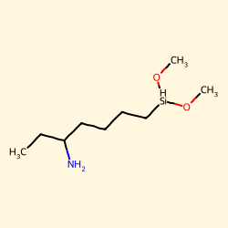 CCC(N)CCCC[SiH](OC)OC